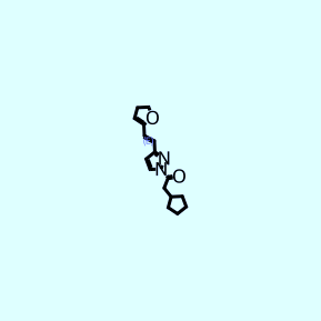 O=C(CC1CCCC1)n1ccc(/C=C/C2=CCCO2)n1